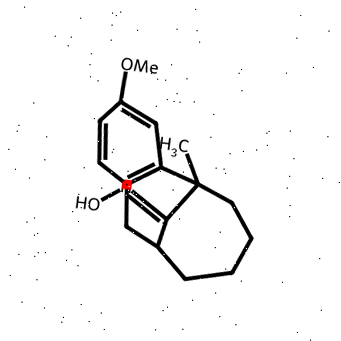 COc1ccc2c(c1)C1(C)CCCCC(C2)C1=NO